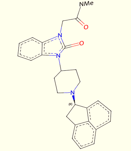 CNC(=O)Cn1c(=O)n(C2CCN([C@@H]3Cc4cccc5cccc3c45)CC2)c2ccccc21